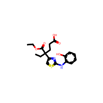 CCOC(=O)C(CC)(CCC(=O)O)c1csc(Nc2ccccc2O)n1